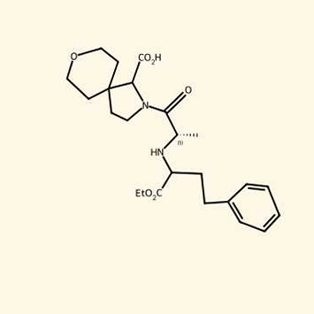 CCOC(=O)C(CCc1ccccc1)N[C@@H](C)C(=O)N1CCC2(CCOCC2)C1C(=O)O